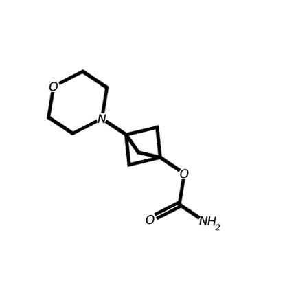 NC(=O)OC12CC(N3CCOCC3)(C1)C2